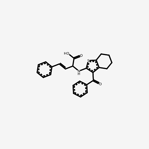 O=C(c1ccccc1)c1c(NC(C=Cc2ccccc2)C(=O)O)sc2c1CCCC2